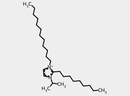 CCCCCCCCCCCC[n+]1ccn(C(C)C)c1CCCCCCCCC